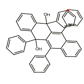 OC1(c2ccccc2)c2ccccc2C(O)(c2ccccc2)c2c1c(-c1ccccc1)c1ccccc1c2-c1ccccc1